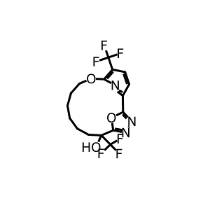 OC1(C(F)(F)F)CCCCCCOc2nc(ccc2C(F)(F)F)-c2nnc1o2